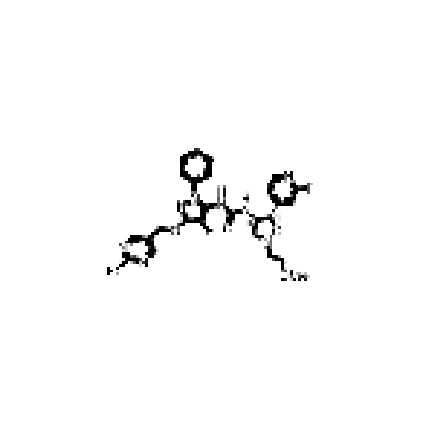 CCc1ncc(COc2nn(-c3ccccc3)c(NC(=O)N[C@@H]3CN(CCOC)O[C@H]3c3ccnc(F)c3)c2C)cn1